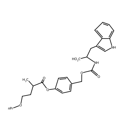 CCCOCCC(C)C(=O)Oc1ccc(COC(=O)NC(Cc2c[nH]c3ccccc23)C(=O)O)cc1